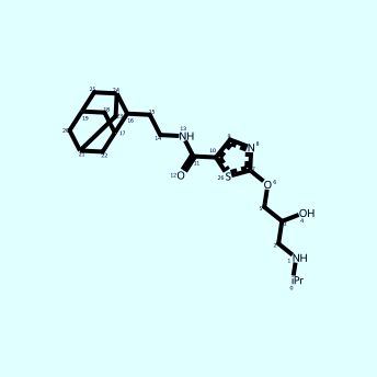 CC(C)NCC(O)COc1ncc(C(=O)NCCC2C3CC4CC(C3)CC2C4)s1